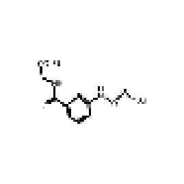 CCCCOONc1cccc(C(=O)NCC(=O)OCC)c1